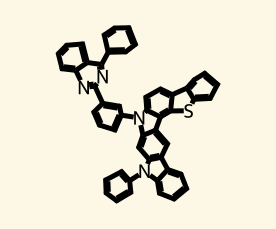 c1ccc(-c2nc(-c3cccc(-n4c5cc6c(cc5c5c7sc8ccccc8c7ccc54)c4ccccc4n6-c4ccccc4)c3)nc3ccccc23)cc1